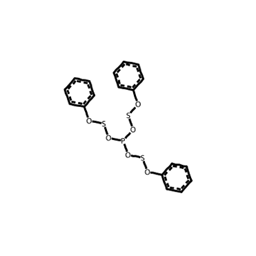 c1ccc(OSOP(OSOc2ccccc2)OSOc2ccccc2)cc1